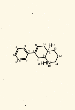 C1=C(c2cccnc2)C[C@@H]2NCCC[C@@H]2C1